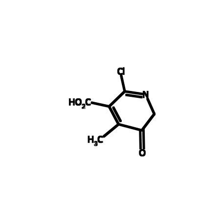 CC1=C(C(=O)O)C(Cl)=NCC1=O